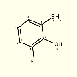 Cc1cccc([SiH3])c1O